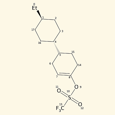 CC[C@H]1CC[C@H](C2CC=C(OS(=O)(=O)C(F)(F)F)CC2)CC1